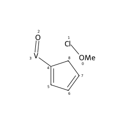 COCl.[O]=[V][C]1=CC=CC1